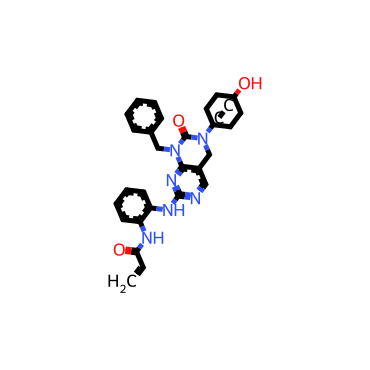 C=CC(=O)Nc1ccccc1Nc1ncc2c(n1)N(Cc1ccccc1)C(=O)N(C13CCC(O)(CC1)CC3)C2